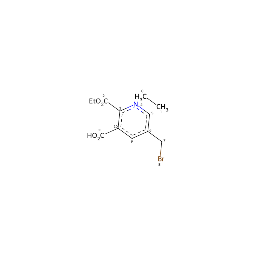 CC.CCOC(=O)c1ncc(CBr)cc1C(=O)O